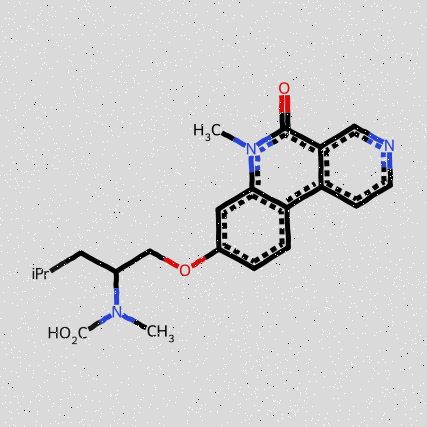 CC(C)CC(COc1ccc2c3ccncc3c(=O)n(C)c2c1)N(C)C(=O)O